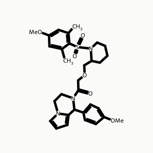 COc1ccc(C2c3cccn3CCN2C(=O)COCC2CCCCN2S(=O)(=O)c2c(C)cc(OC)cc2C)cc1